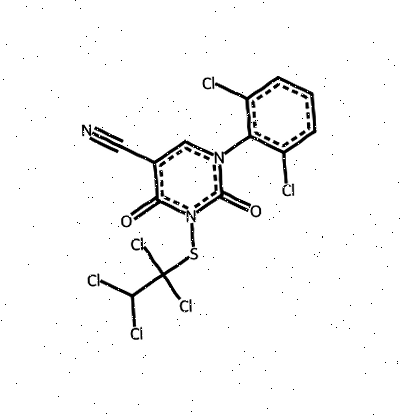 N#Cc1cn(-c2c(Cl)cccc2Cl)c(=O)n(SC(Cl)(Cl)C(Cl)Cl)c1=O